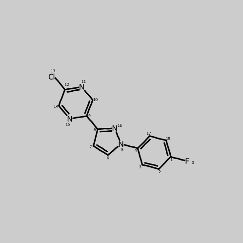 Fc1ccc(-n2ccc(-c3cnc(Cl)cn3)n2)cc1